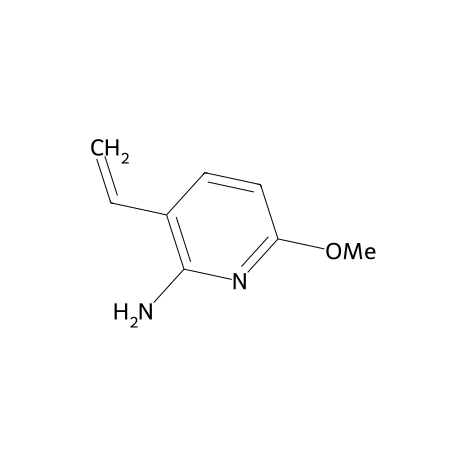 C=Cc1ccc(OC)nc1N